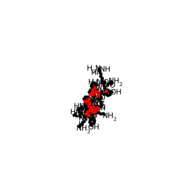 CC(C)C[C@H](NC(=O)[C@H](CCCCN)NC(=O)[C@H](Cc1ccc(O)cc1)NC(=O)[C@H](Cc1c[nH]c2ccccc12)NC(=O)[C@H](C)NC(=O)[C@H](C)NC(=O)[C@H](Cc1c[nH]c2ccccc12)NC(=O)[C@H](Cc1ccccc1)NC(=O)[C@H](Cc1ccc(O)cc1)NC(=O)[C@H](CCC(N)=O)NC(=O)[C@@H](N)CCCNC(=N)N)C(=O)N[C@@H](C)C(=O)N[C@@H](CC(N)=O)C(=O)N[C@@H](CO)C(=O)N[C@@H](CCCCN)C(=O)O